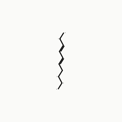 [CH2][CH][CH]C/C=C/C=C/[CH][CH2]